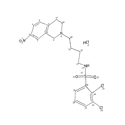 Cl.O=[N+]([O-])c1ccc2c(c1)CN(CCCCNS(=O)(=O)c1cccc(Cl)c1Cl)CC2